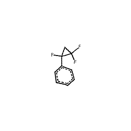 FC1(F)CC1(F)c1ccccc1